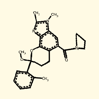 COC1(c2ccccc2C)CCc2c(C(=O)N3CCC3)cc3c(nc(C)n3C)c2O1